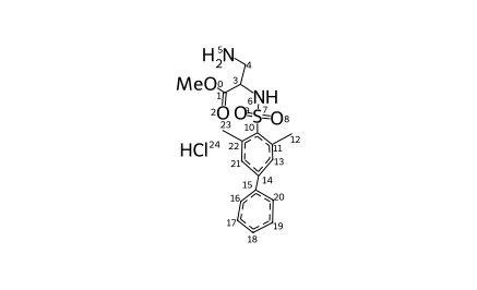 COC(=O)C(CN)NS(=O)(=O)c1c(C)cc(-c2ccccc2)cc1C.Cl